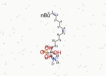 CCCC/C=C\CCC/C=C\CCCCCC(O)(C[N+](C)(C)C)P(=O)(O)O